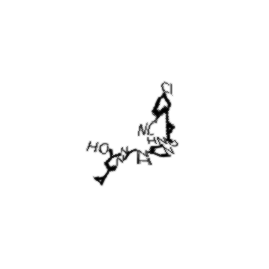 N#Cc1ccc(Cl)cc1C1CC1C(=O)Nc1cc(NCc2cn3cc(C4CC4)cc(CO)c3n2)ccn1